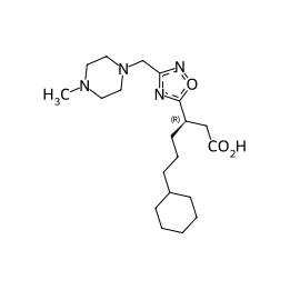 CN1CCN(Cc2noc([C@H](CCCC3CCCCC3)CC(=O)O)n2)CC1